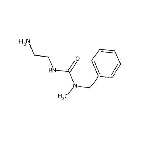 CN(Cc1ccccc1)C(=O)NCCN